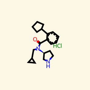 Cl.O=C(c1ccccc1C1CCCC1)N(CC1CC1)[C@H]1CCNC1